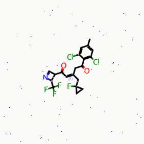 Cc1cc(Cl)c(C(=O)C/C(=C\C(=O)C2C=NC2C(F)(F)F)CC2(F)CC2)c(Cl)c1